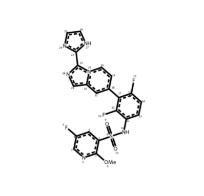 COc1ncc(F)cc1S(=O)(=O)Nc1ccc(F)c(-c2ccn3c(-c4ncc[nH]4)ncc3c2)c1F